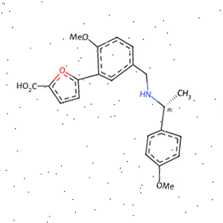 COc1ccc([C@@H](C)NCc2ccc(OC)c(-c3ccc(C(=O)O)o3)c2)cc1